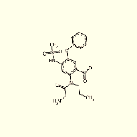 CCCN(C(=O)CN)c1cc(NS(C)(=O)=O)c(Oc2ccccc2)cc1[N+](=O)[O-]